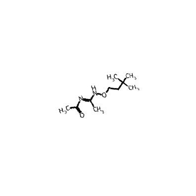 CC(=O)/N=C(\C)NOCCC(C)(C)C